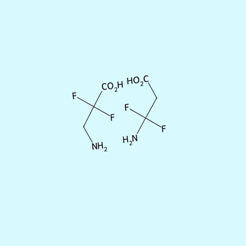 NC(F)(F)CC(=O)O.NCC(F)(F)C(=O)O